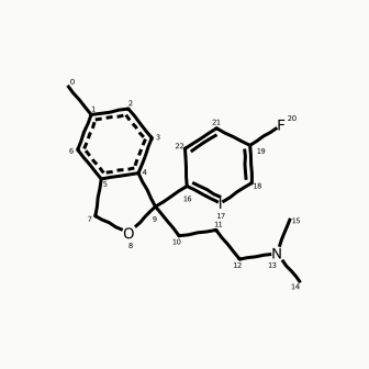 Cc1ccc2c(c1)COC2(CCCN(C)C)C1=IC=C(F)C=C1